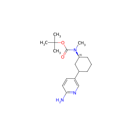 CN(C(=O)OC(C)(C)C)[C@H]1CCCC(c2ccc(N)nc2)C1